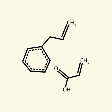 C=CC(=O)O.C=CCc1ccccc1